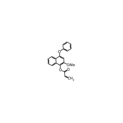 C=CC(=O)Oc1c(OC)cc(Oc2ccccc2)c2ccccc12